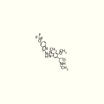 CCNCC(C=O)c1cc2nc(Nc3nc4ccc(OC(F)(F)F)cc4s3)n(C)c2cc1OC